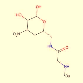 CCCCNCC(=O)NC[C@@H]1CC([N+](=O)[O-])C(O)[C@H](O)O1